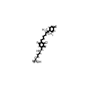 CC(C)(CCCCCc1c(F)cc(CNCCCO[PH](=O)O)c(F)c1Cl)c1ccc(F)cc1